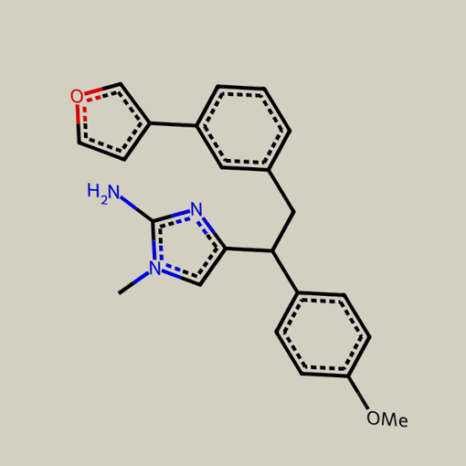 COc1ccc(C(Cc2cccc(-c3ccoc3)c2)c2cn(C)c(N)n2)cc1